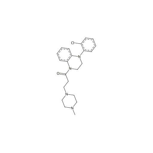 CN1CCN(CCC(=O)N2CCN(c3ccccc3Cl)c3ccccc32)CC1